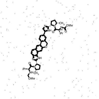 COCN[C@H](C(=O)N1[C@@H](C)CC[C@H]1c1nc2ccc3cc4c(cc3c2[nH]1)OCc1cc(-c2cnc([C@@H]3CC[C@H](C)N3C(=O)[C@@H](NC(=O)OC)C(C)C)[nH]2)ccc1-4)C(C)C